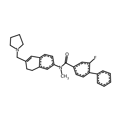 CN(C(=O)c1ccc(-c2ccccc2)c(F)c1)c1ccc2c(c1)CCC(CN1CCCC1)=C2